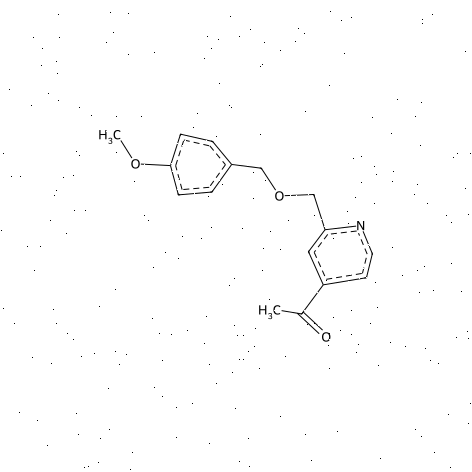 COc1ccc(COCc2cc(C(C)=O)ccn2)cc1